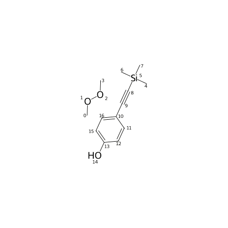 COOC.C[Si](C)(C)C#Cc1ccc(O)cc1